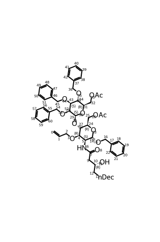 C=CCO[C@@H]1[C@H](NC(=O)C[C@H](O)CCCCCCCCCCC)[C@@H](OCc2ccccc2)O[C@H](COC(C)=O)[C@H]1O[C@@H]1O[C@H](COC(C)=O)[C@@H](OCc2ccccc2)[C@H](OCc2ccccc2)[C@@H]1OCc1ccccc1